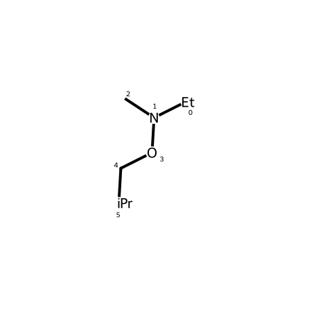 CCN(C)OCC(C)C